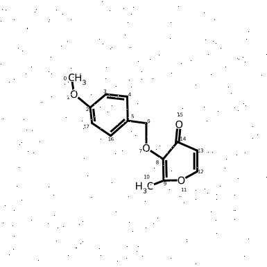 COc1ccc(COc2c(C)occc2=O)cc1